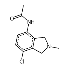 CC(=O)Nc1ccc(Cl)c2c1CN(C)C2